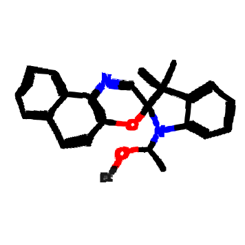 CCOC(C)N1c2ccccc2C(C)(C)C12C=Nc1c(ccc3ccccc13)O2